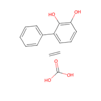 C=C.O=C(O)O.Oc1cccc(-c2ccccc2)c1O